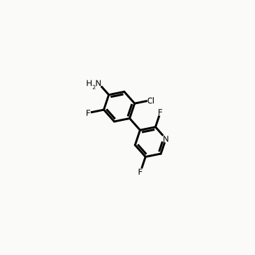 Nc1cc(Cl)c(-c2cc(F)cnc2F)cc1F